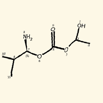 CC(O)OC(=O)O[C@H](N)C(C)C